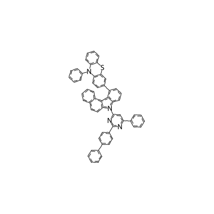 c1ccc(-c2ccc(-c3nc(-c4ccccc4)cc(-n4c5cccc(-c6ccc7c(c6)Sc6ccccc6N7c6ccccc6)c5c5c6ccccc6ccc54)n3)cc2)cc1